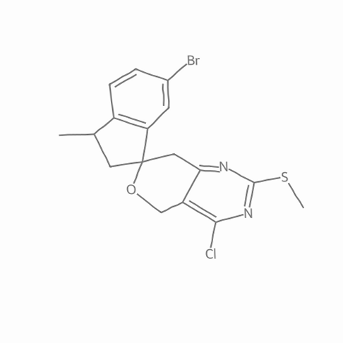 CSc1nc(Cl)c2c(n1)CC1(CC(C)c3ccc(Br)cc31)OC2